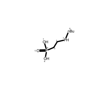 CCCCPCCP(=O)(O)O